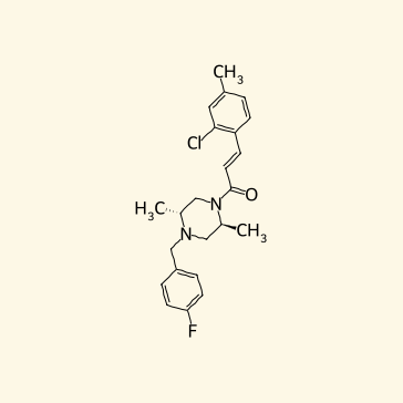 Cc1ccc(C=CC(=O)N2C[C@@H](C)N(Cc3ccc(F)cc3)C[C@@H]2C)c(Cl)c1